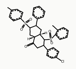 Cc1ccc(S(=O)(=O)C2C[C@H]3C(=O)CC(c4ccc(Cl)cc4)C(S(=O)(=O)c4ccccc4C)[C@H]3CC2c2ccccc2)cc1